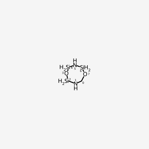 C1N[SiH2]O[SiH2]N[SiH2]O1